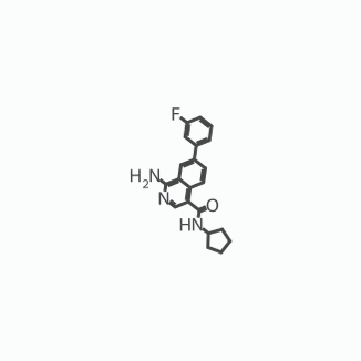 Nc1ncc(C(=O)NC2CCCC2)c2ccc(-c3cccc(F)c3)cc12